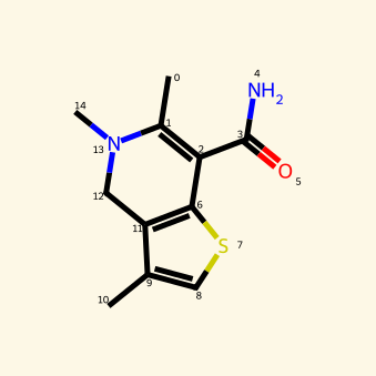 CC1=C(C(N)=O)c2scc(C)c2CN1C